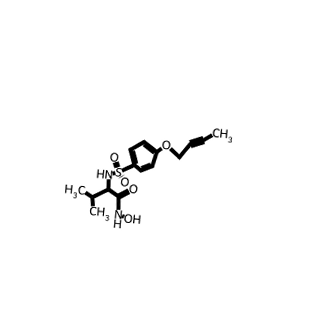 CC#CCOc1ccc(S(=O)(=O)NC(C(=O)NO)C(C)C)cc1